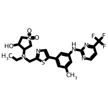 CCN(Cc1ncc(-c2cc(C)cc(Nc3nccc(C(F)(F)F)n3)c2)s1)C1CS(=O)(=O)CC1O